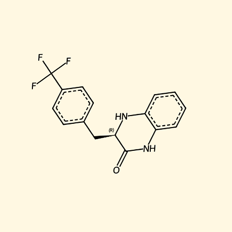 O=C1Nc2ccccc2N[C@@H]1Cc1ccc(C(F)(F)F)cc1